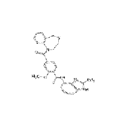 COc1cc(C(=O)N2CCSCc3ccccc32)ccc1C(=O)Nc1cccc2[nH]c(C)nc12